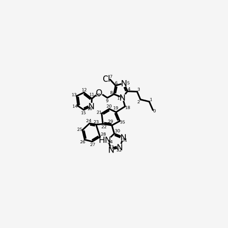 CCCCc1nc(Cl)c(COc2ccccn2)n1Cc1ccc(-c2ccccc2)c(-c2nnn[nH]2)c1